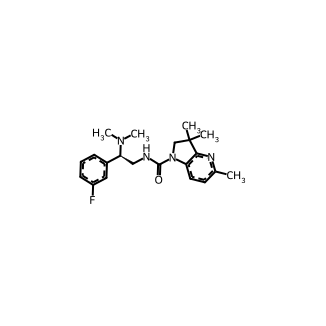 Cc1ccc2c(n1)C(C)(C)CN2C(=O)NC[C@@H](c1cccc(F)c1)N(C)C